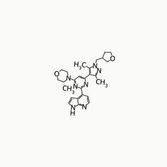 Cc1nn(CC2CCOC2)c(C)c1-c1cc(N2CCOC[C@H]2C)nc(-c2ccnc3[nH]ccc23)n1